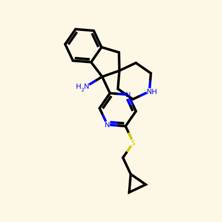 NC1(c2cnc(SCC3CC3)cn2)c2ccccc2CC12CCNCC2